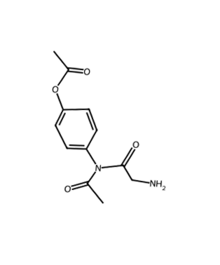 CC(=O)Oc1ccc(N(C(C)=O)C(=O)CN)cc1